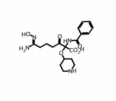 NC(CCCC(=O)C(NC(=O)c1ccccc1)(OC1CCNCC1)C(=O)O)=NO